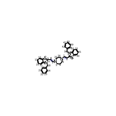 C(=C\N1CCCN(/C=C/c2sc3ccccc3[n+]2Cc2ccccc2)CC1)/c1sc2ccccc2[n+]1Cc1ccccc1